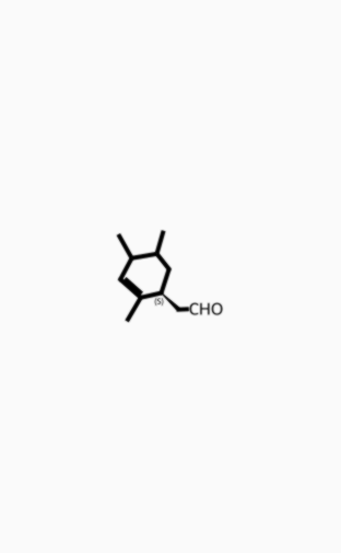 CC1=CC(C)C(C)C[C@H]1CC=O